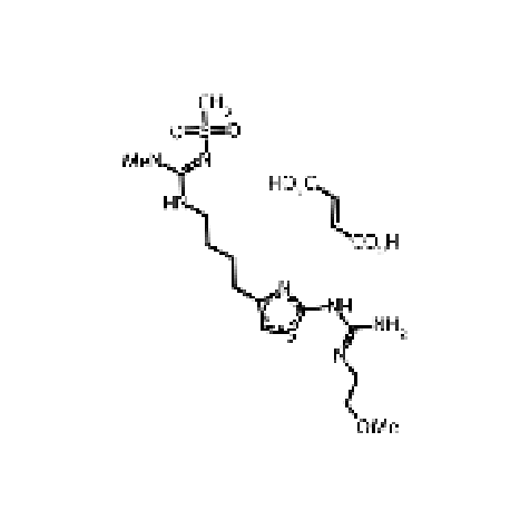 CNC(=NS(C)(=O)=O)NCCCCc1csc(NC(N)=NCCOC)n1.O=C(O)C=CC(=O)O